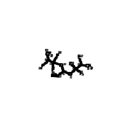 CCCCC(OC(F)(F)C(F)C(F)(F)F)OC(F)(F)C(F)C(F)(F)F